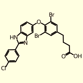 O=C(O)CCCc1cc(Br)c(Oc2ccc3[nH]c(-c4ccc(Cl)cc4)nc3c2)c(Br)c1